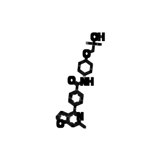 Cc1cc2occc2c(-c2ccc(C(=O)N[C@H]3CC[C@H](OCC(C)(C)O)CC3)cc2)n1